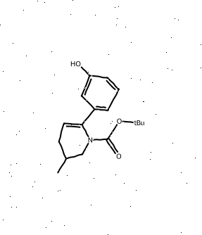 CC1CC=C(c2cccc(O)c2)N(C(=O)OC(C)(C)C)C1